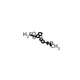 C=CC(=O)Oc1cc(-c2cc3ccc(C4CN(C(=O)C=C)C4)cc3s2)c2ccccc2c1